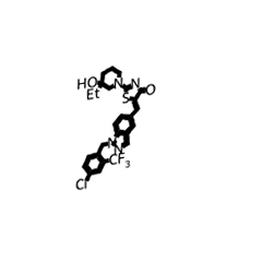 CCC1(O)CCCN(C2=NC(=O)/C(=C/c3ccc4c(cnn4Cc4ccc(Cl)cc4C(F)(F)F)c3)S2)C1